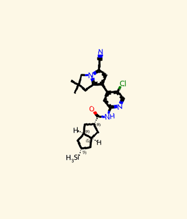 CC1(C)Cc2c(-c3cc(NC(=O)[C@@H]4C[C@H]5C[C@H]([SiH3])C[C@H]5C4)ncc3Cl)cc(C#N)n2C1